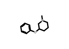 CN1CCCC(Oc2ccccc2)C1